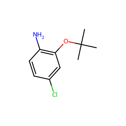 CC(C)(C)Oc1cc(Cl)ccc1N